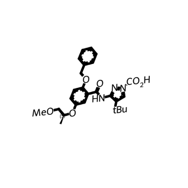 COC[C@H](C)Oc1ccc(OCc2ccccc2)c(C(=O)Nc2nn(C(=O)O)cc2C(C)(C)C)c1